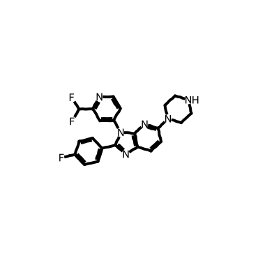 Fc1ccc(-c2nc3ccc(N4CCNCC4)nc3n2-c2ccnc(C(F)F)c2)cc1